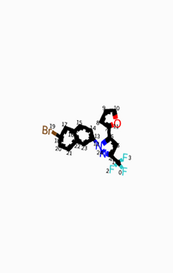 FC(F)(F)c1cc(-c2ccco2)n(-c2ccc3cc(Br)ccc3c2)n1